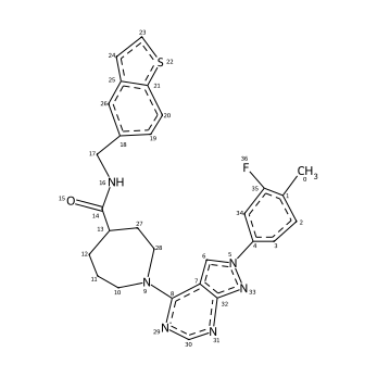 Cc1ccc(-n2cc3c(N4CCCC(C(=O)NCc5ccc6sccc6c5)CC4)ncnc3n2)cc1F